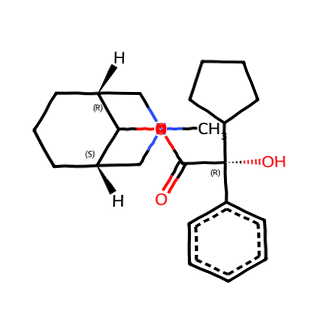 CN1C[C@H]2CCC[C@@H](C1)C2OC(=O)[C@](O)(c1ccccc1)C1CCCC1